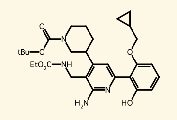 CCOC(=O)NCc1c(C2CCCN(C(=O)OC(C)(C)C)C2)cc(-c2c(O)cccc2OCC2CC2)nc1N